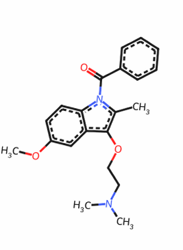 COc1ccc2c(c1)c(OCCN(C)C)c(C)n2C(=O)c1ccccc1